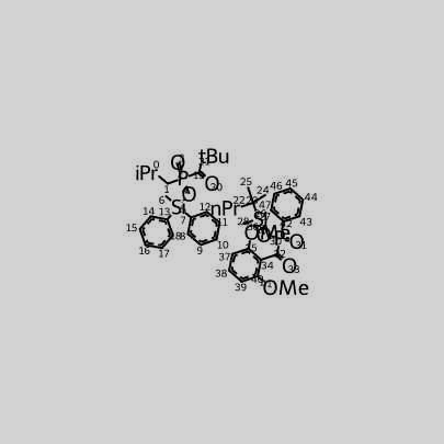 CC(C)CP(=O)(O[Si](C)(c1ccccc1)c1ccccc1)C(=O)C(C)(C)C.CCCC(C)(C)[Si](C)(C)OP(=O)(C(=O)c1c(OC)cccc1OC)c1ccccc1